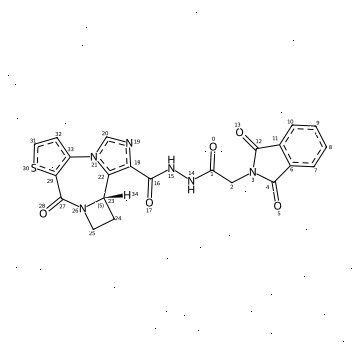 O=C(CN1C(=O)c2ccccc2C1=O)NNC(=O)c1ncn2c1[C@@H]1CCN1C(=O)c1sccc1-2